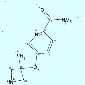 CNC(=O)c1ccc(OC2(C)CNC2)cn1